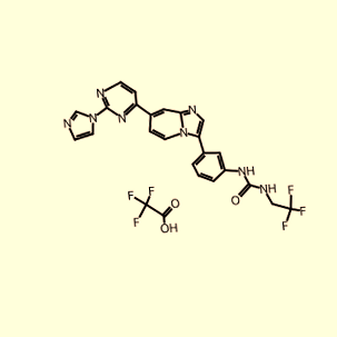 O=C(NCC(F)(F)F)Nc1cccc(-c2cnc3cc(-c4ccnc(-n5ccnc5)n4)ccn23)c1.O=C(O)C(F)(F)F